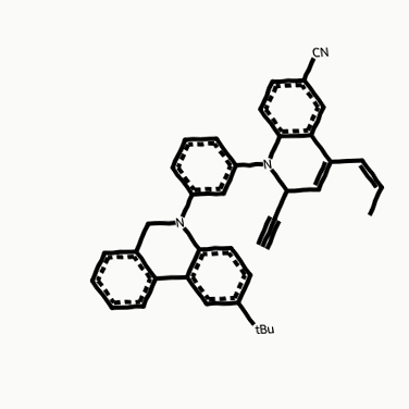 C#CC1C=C(/C=C\C)c2cc(C#N)ccc2N1c1cccc(N2Cc3ccccc3-c3cc(C(C)(C)C)ccc32)c1